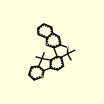 CC1(C)Oc2cc3ccccc3nc2-c2c1ccc1c2C(C)(C)c2cccnc2-1